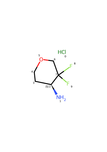 Cl.N[C@H]1CCOCC1(F)F